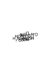 CN(C)[C@@H]1C(O)=C(C(N)=O)C(=O)[C@@]2(O)C(O)=C3C(=O)c4c(O)cc(CNCC5CCCCC5)c(Cl)c4C[C@H]3C[C@@H]12